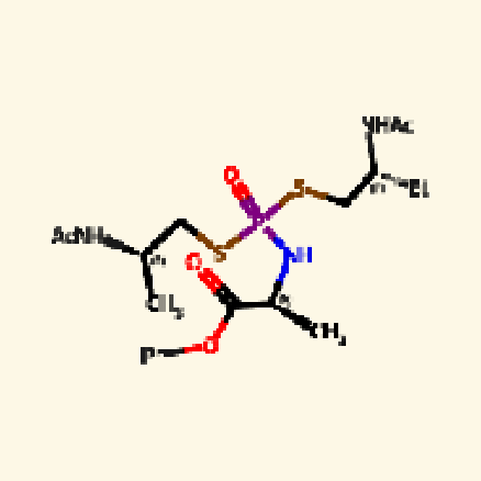 CC[C@H](CSP(=O)(N[C@@H](C)C(=O)OC(C)C)SC[C@@H](C)NC(C)=O)NC(C)=O